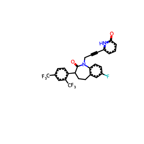 O=C1C(c2ccc(C(F)(F)F)cc2C(F)(F)F)CCc2cc(F)ccc2N1CC#Cc1cccc(=O)[nH]1